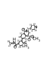 COC(=O)c1cn(Cc2ccncc2)c(=O)c2ccc(-c3cc(C(=O)NC4CC4)ccc3C)cc12